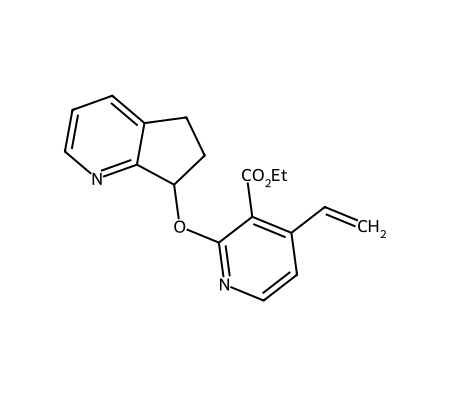 C=Cc1ccnc(OC2CCc3cccnc32)c1C(=O)OCC